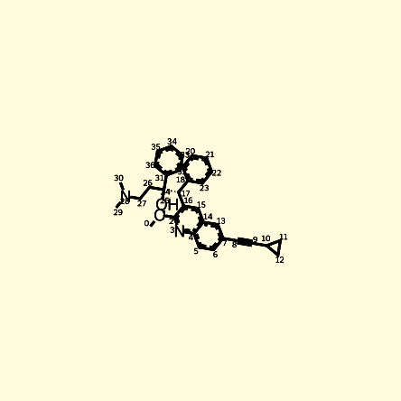 COc1nc2ccc(C#CC3CC3)cc2cc1[C@@H](c1ccccc1)C(O)(CCN(C)C)c1ccccc1